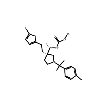 Cc1ccc(C(C)(C)N2CC[C@@](CCc3ccc(F)s3)([C@H](F)NC(=O)OC(C)C)C2)cn1